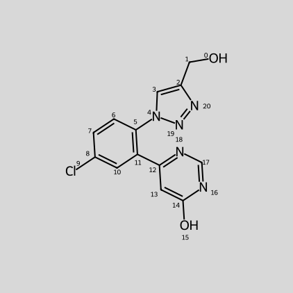 OCc1cn(-c2ccc(Cl)cc2-c2cc(O)ncn2)nn1